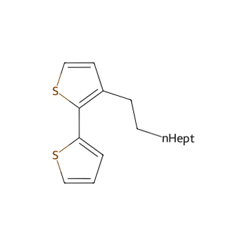 CCCCCCCCCc1ccsc1-c1cccs1